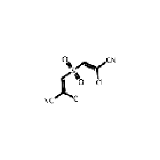 N#CC(Cl)=CS(=O)(=O)C=C(Cl)C#N